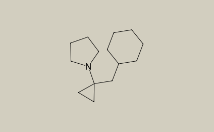 C1CCC(CC2(N3CCCC3)CC2)CC1